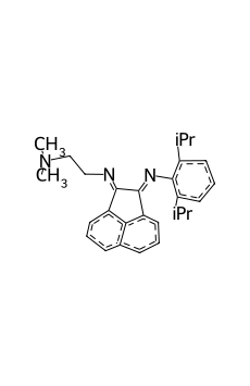 CC(C)c1cccc(C(C)C)c1/N=C1/C(=N/CCN(C)C)c2cccc3cccc1c23